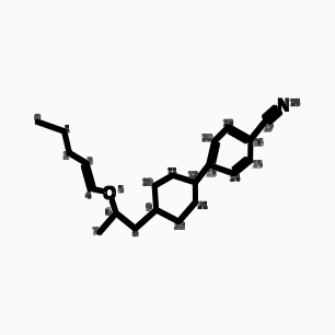 CCC/C=C/OC(C)CC1CCC(c2ccc(C#N)cc2)CC1